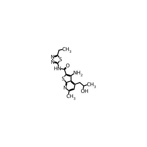 CCc1nnc(NC(=O)c2sc3nc(C)cc(CC(C)O)c3c2N)s1